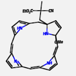 CCOC(=O)C(C)(C#N)CC12C=CC(OC)(C=c3ccc([nH]3)=CC3=NC(=Cc4ccc([nH]4)C1)C=C3)N2